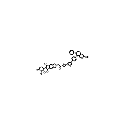 O=C1CCC(N2C(=O)c3cc4c(cc3C2=O)CN(CC(=O)N2CC(n3cc(-c5ccc([C@@H]6c7ccc(O)cc7CC[C@@H]6c6ccccc6)cc5)cn3)C2)C4)C(=O)N1